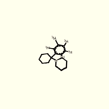 [2H]c1c([2H])c([2H])c(C2(N3CCCCC3)CCCCC2)c([2H])c1[2H]